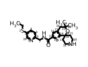 CCSc1ccc(CNC(=O)c2cc3c(s2)C2(CCNCC2)OC(C)(C)C3)nc1